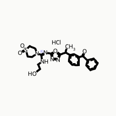 CC(c1cccc(C(=O)c2ccccc2)c1)c1nnc(/N=C(\NCCO)N2CCS(=O)(=O)CC2)o1.Cl